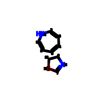 C1=CC=CNC=C1.C1=NCCS1